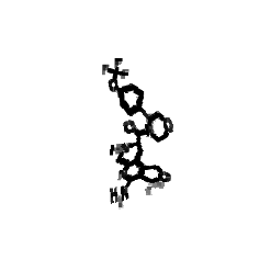 C[C@H]1OCc2c1c(N)nc1c2=CC(C(=O)N2CCOC[C@@H]2c2ccc(OC(F)(F)F)cc2)NC=1